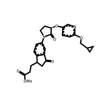 COC(=O)CCC1CC(=O)c2cc(N3CC[C@@H](Oc4ccc(OCC5CC5)nc4)C3=O)ccc21